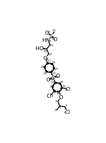 CC(CCl)COc1c(Cl)cc(S(=O)(=O)c2ccc(OCC(O)CNS(C)(=O)=O)cc2)cc1Cl